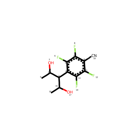 CC(O)C(c1c(F)c(F)c(C#N)c(F)c1F)C(C)O